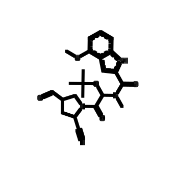 COc1cccc2[nH]c(C(=O)N(C)C(OC(C)(C)C)C(=O)N3CC(C=O)CC3C#N)cc12